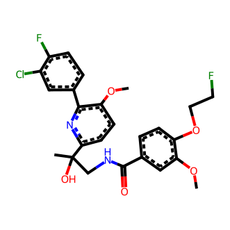 COc1cc(C(=O)NCC(C)(O)c2ccc(OC)c(-c3ccc(F)c(Cl)c3)n2)ccc1OCCF